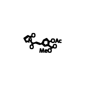 COC(=O)c1cc(C=CC(=O)N2CC=CC2=O)ccc1OC(C)=O